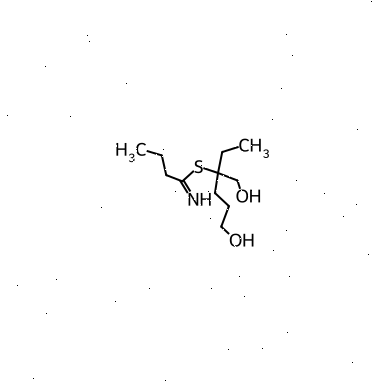 CCCC(=N)SC(CC)(CO)CCCO